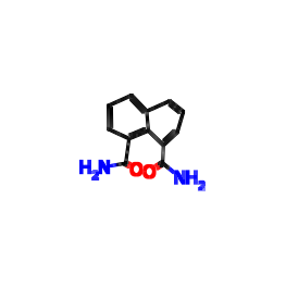 NC(=O)c1cccc2cccc(C(N)=O)c12